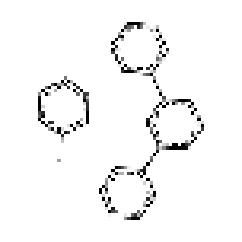 Cc1ccccc1.c1ccc(-c2cccc(-c3ccccc3)c2)cc1